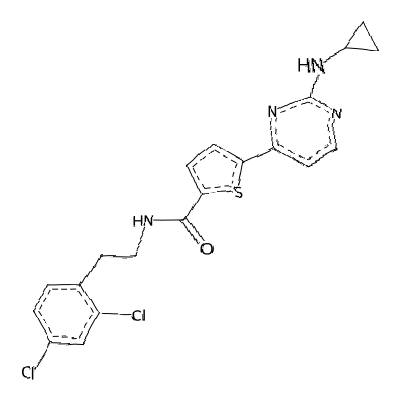 O=C(NCCc1ccc(Cl)cc1Cl)c1ccc(-c2ccnc(NC3CC3)n2)s1